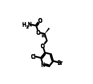 C[C@H](COc1cc(Br)cnc1Cl)OC(N)=O